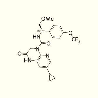 COC[C@H](NC(=O)N1CC(=O)Nc2cc(C3CC3)cnc21)c1ccc(OC(F)(F)F)cc1